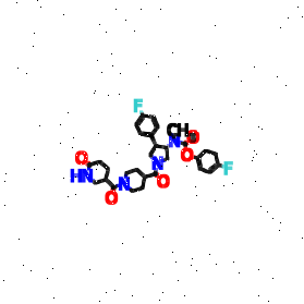 CN(C(=O)OC1=CC=C(F)CC1)[C@@H]1CN(C(=O)C2CCN(C(=O)C3CCC(=O)NC3)CC2)C[C@H]1c1ccc(F)cc1